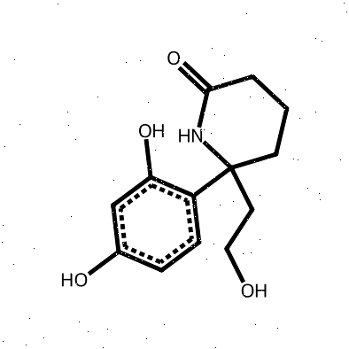 O=C1CCCC(CCO)(c2ccc(O)cc2O)N1